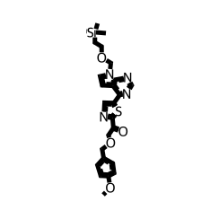 COc1ccc(COCC(=O)c2ncc(-c3ncnc4c3ccn4COCC[Si](C)(C)C)s2)cc1